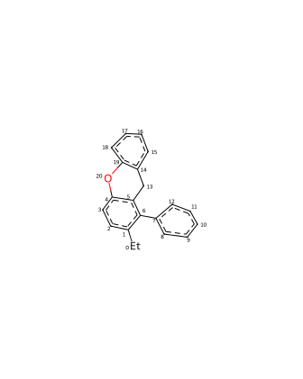 CCc1ccc2c(c1-c1ccccc1)Cc1ccccc1O2